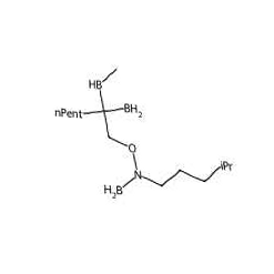 BN(CCCC(C)C)OCC(B)(BC)CCCCC